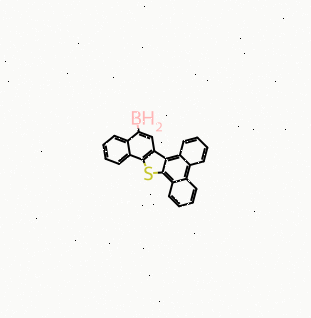 Bc1cc2c(sc3c4ccccc4c4ccccc4c23)c2ccccc12